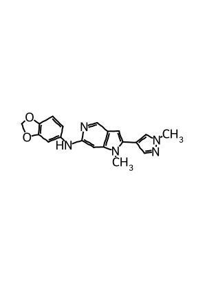 Cn1cc(-c2cc3cnc(Nc4ccc5c(c4)OCO5)cc3n2C)cn1